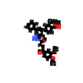 CCOc1ccc(C(=O)CCC(=O)Nc2cc(-c3ccc(O)c(OC)c3)cc(-c3ccccc3)n2)cc1OCC